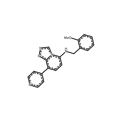 COc1ccccc1CNc1ccc(-c2ccncc2)c2nncn12